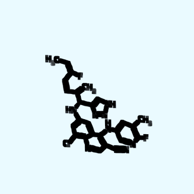 C=C(/C=C\C(F)=C/C)[C@H](Nc1cc(Cl)c2ncc(C#N)c(Nc3cnc(F)c(C)c3)c2c1)c1c[nH]nn1